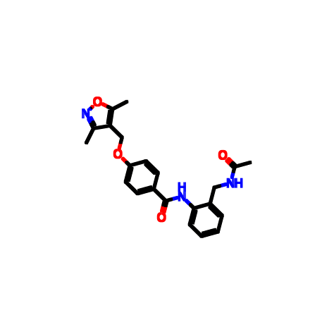 CC(=O)NCc1ccccc1NC(=O)c1ccc(OCc2c(C)noc2C)cc1